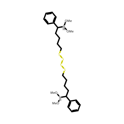 CO[SiH](OC)C(CCCCSSSSCCCCC(c1ccccc1)[SiH](OC)OC)c1ccccc1